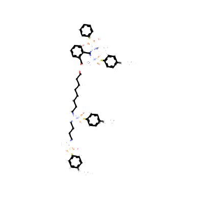 CCCCN(C(c1ccccc1COCCCCCCCCN(CCCCNS(=O)(=O)c1ccc(OC)cc1)S(=O)(=O)c1ccc(OC)cc1)N(OC)S(=O)(=O)c1ccccc1)S(=O)(=O)c1ccc(OC)cc1